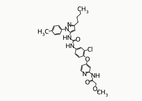 CCCCc1cc(NC(=O)Nc2ccc(Oc3ccnc(NC(=O)COC)c3)c(Cl)c2)n(-c2ccc(C)cc2)n1